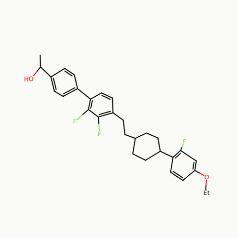 CCOc1ccc(C2CCC(CCc3ccc(-c4ccc(C(C)O)cc4)c(F)c3F)CC2)c(F)c1